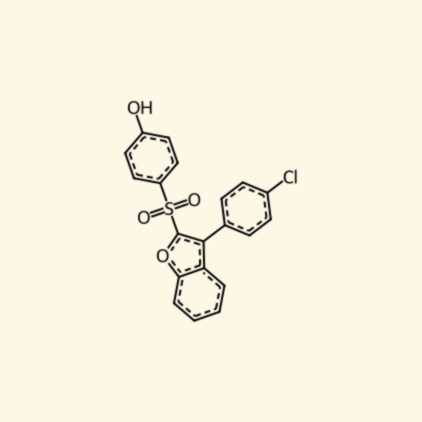 O=S(=O)(c1ccc(O)cc1)c1oc2ccccc2c1-c1ccc(Cl)cc1